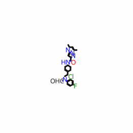 Cc1cc(C)n2nc(C(=O)N[C@H]3CC=C(CCN(C=O)c4ccc(F)cc4Cl)CC3)cc2n1